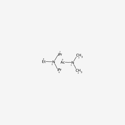 CC(=O)N(C)C.CCN(C(C)C)C(C)C